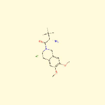 COc1cc2c(cc1OC)CN(C(=O)[C@@H](N)C(C)(C)C)CC2.Cl